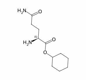 NC(=O)CC[C@H](N)C(=O)OC1CCCCC1